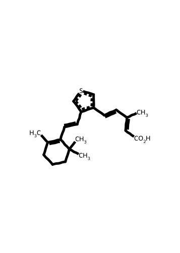 CC(C=Cc1cscc1C=CC1=C(C)CCCC1(C)C)=CC(=O)O